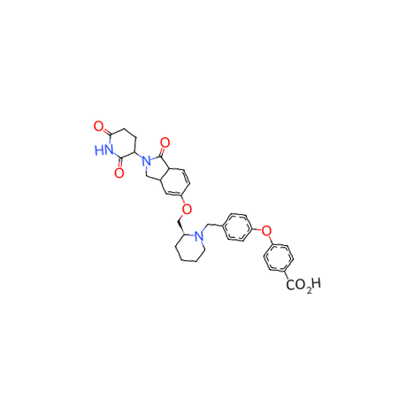 O=C1CCC(N2CC3C=C(OC[C@@H]4CCCCN4Cc4ccc(Oc5ccc(C(=O)O)cc5)cc4)C=CC3C2=O)C(=O)N1